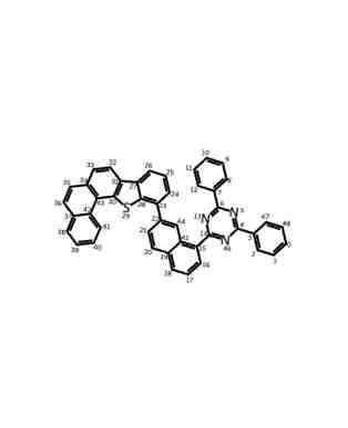 c1ccc(-c2nc(-c3ccccc3)nc(-c3cccc4ccc(-c5cccc6c5sc5c6ccc6ccc7ccccc7c65)cc34)n2)cc1